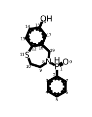 O=[PH](c1ccccc1)N1CCSc2ccc(O)cc2C1